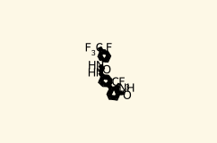 O=C(Nc1ccc(F)c(C(F)(F)F)c1)Nc1ccc(-c2cccc3c2CNC3=O)c(C(F)(F)F)c1